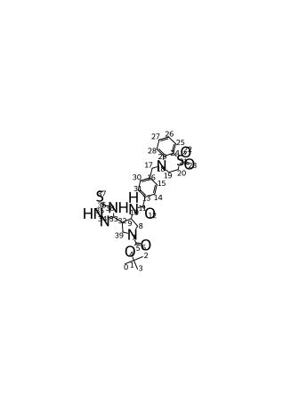 CC(C)(C)OC(=O)N1CC(NC(=O)c2ccc(CN3CCS(=O)(=O)c4ccccc43)cc2)C(c2n[nH]c(=S)[nH]2)C1